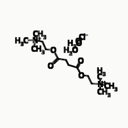 C[N+](C)(C)CCOC(=O)CCC(=O)OCC[N+](C)(C)C.O.O.[Cl-].[Cl-]